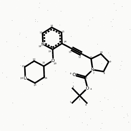 CC(C)(C)OC(=O)N1CCCC1C#Cc1cccnc1OC1CCOCC1